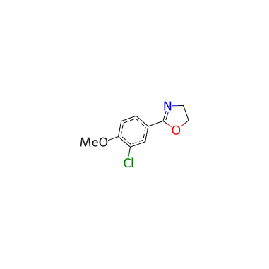 COc1ccc(C2=NCCO2)cc1Cl